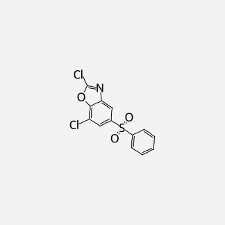 O=S(=O)(c1ccccc1)c1cc(Cl)c2oc(Cl)nc2c1